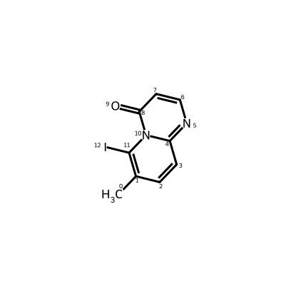 Cc1ccc2nccc(=O)n2c1I